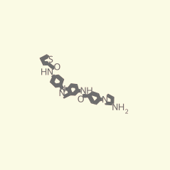 NC1CCN(c2ccc(C(=O)Nc3ccc4c(cnn4-c4ccc(NC(=O)c5cccs5)cc4)c3)cc2)C1